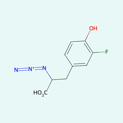 [N-]=[N+]=NC(Cc1ccc(O)c(F)c1)C(=O)O